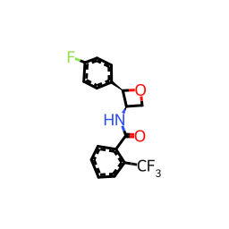 O=C(N[C@@H]1CO[C@@H]1c1ccc(F)cc1)c1ccccc1C(F)(F)F